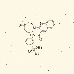 CCS(=N)(=O)c1cccc(NC(=O)c2cc3ccccc3nc2N2CCCC(F)(F)CC2)c1